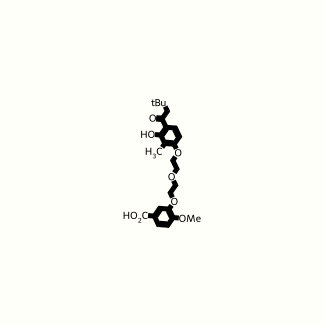 COc1ccc(C(=O)O)cc1OCCOCCOc1ccc(C(=O)CC(C)(C)C)c(O)c1C